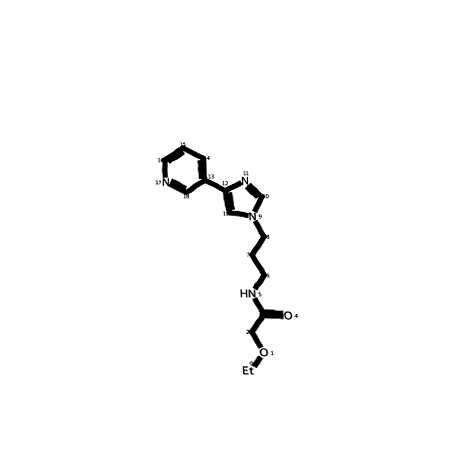 CCOCC(=O)NCCCn1cnc(-c2cccnc2)c1